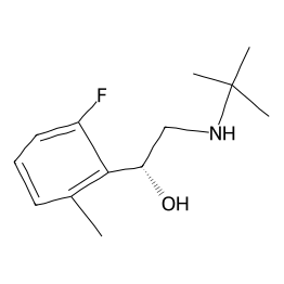 Cc1cccc(F)c1[C@@H](O)CNC(C)(C)C